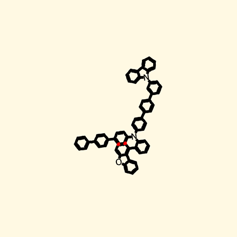 c1ccc(-c2ccc(-c3ccc(N(c4ccc(-c5ccc(-c6cccc(-n7c8ccccc8c8ccccc87)c6)cc5)cc4)c4ccccc4-c4cccc5oc6ccccc6c45)cc3)cc2)cc1